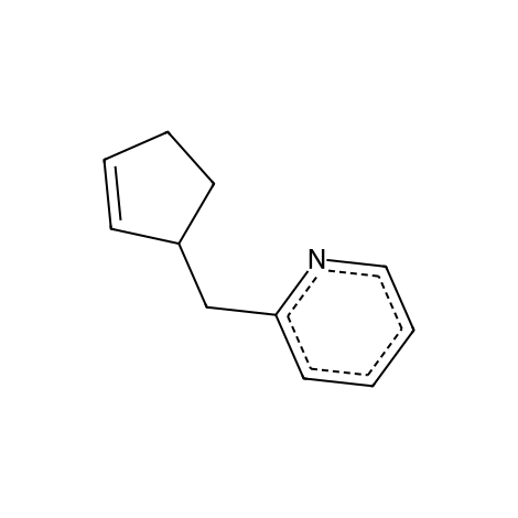 C1=CC(Cc2ccccn2)CC1